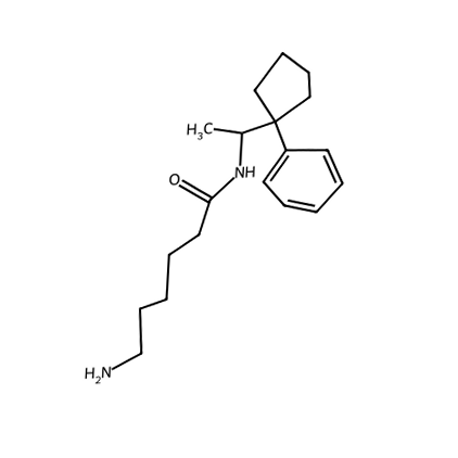 CC(NC(=O)CCCCCN)C1(c2ccccc2)CCCC1